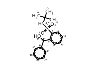 CC(C)(C)NS(=O)(=O)c1ccccc1C(O)c1ccccc1